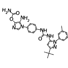 Cc1cccc(-n2nc(C(C)(C)C)cc2NC(=O)Nc2ccc(-n3cnc(OC(N)=O)c3N)cc2)c1